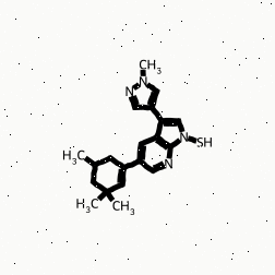 CC1CC(c2cnc3c(c2)c(-c2cnn(C)c2)cn3S)=CC(C)(C)C1